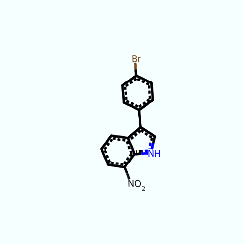 O=[N+]([O-])c1cccc2c(-c3ccc(Br)cc3)c[nH]c12